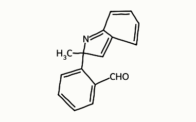 CC1(c2ccccc2C=O)C=c2ccccc2=N1